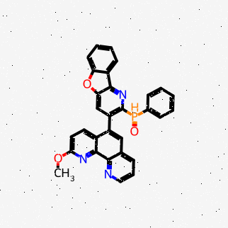 COc1ccc2c(-c3cc4oc5ccccc5c4nc3[PH](=O)c3ccccc3)cc3cccnc3c2n1